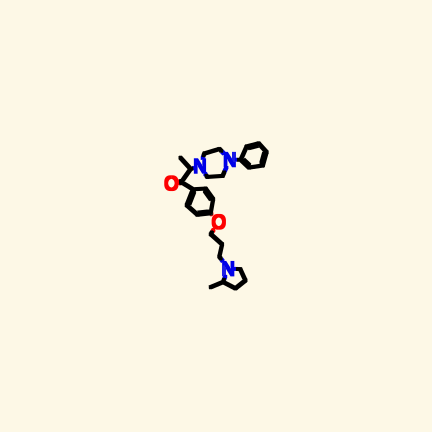 CC1CCCN1CCCOc1ccc(C(=O)C(C)N2CCN(c3ccccc3)CC2)cc1